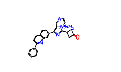 N[N+]12C=CN=CC1=C(c1ccc3ccc(-c4ccccc4)nc3c1)N=C2C1CC(=O)C1